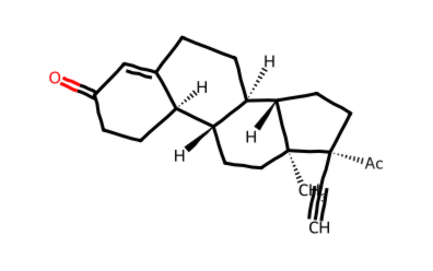 C#C[C@]1(C(C)=O)CC[C@H]2[C@@H]3CCC4=CC(=O)CC[C@@H]4[C@H]3CC[C@@]21C